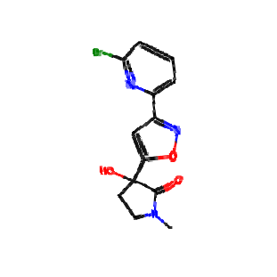 CN1CCC(O)(c2cc(-c3cccc(Br)n3)no2)C1=O